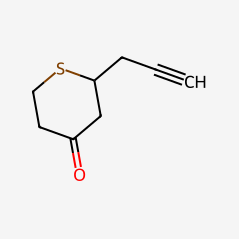 C#CCC1CC(=O)CCS1